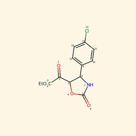 CCOC(=O)C(=O)C1OC(=O)NC1c1ccc(Cl)cc1